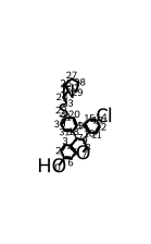 Oc1ccc2c(c1)OC[C@H](c1ccc(Cl)cc1)[C@@H]2c1ccc(SCCN2CCCC2)cc1